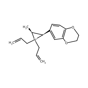 C=CC[N+]1(CC=C)[C@H](c2ccc3c(c2)OCCO3)[C@@H]1C